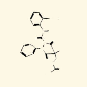 CCCCCC(=O)OCC1(C)C(=O)N(C(=O)N(C)c2ccccc2C(=O)O)N(c2ccccc2)C1=O